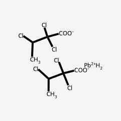 CC(Cl)C(Cl)(Cl)C(=O)[O-].CC(Cl)C(Cl)(Cl)C(=O)[O-].[PbH2+2]